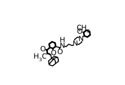 COc1ccccc1N1CCN(CCCNC(=O)c2cccc3c(=O)c(C)c(C45CC6CC(CC(C6)C4)C5)oc23)CC1